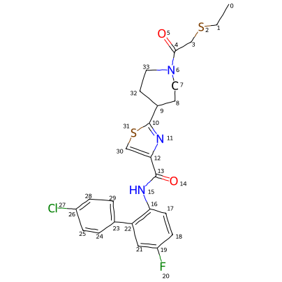 CCSCC(=O)N1CCC(c2nc(C(=O)Nc3ccc(F)cc3-c3ccc(Cl)cc3)cs2)CC1